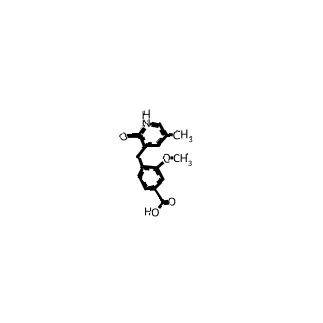 COc1cc(C(=O)O)ccc1Cc1cc(C)c[nH]c1=O